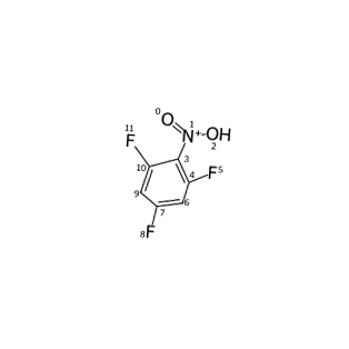 O=[N+](O)c1c(F)cc(F)cc1F